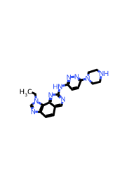 CCn1cnc2ccc3cnc(Nc4ccc(N5CCNCC5)nn4)nc3c21